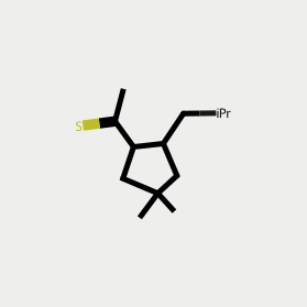 CC(=S)C1CC(C)(C)CC1CC(C)C